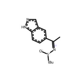 C/C(=N/[S+]([O-])C(C)(C)C)c1ccc2[nH]ncc2c1